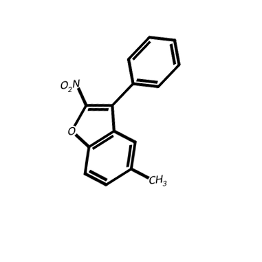 Cc1ccc2oc([N+](=O)[O-])c(-c3ccccc3)c2c1